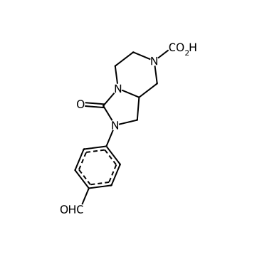 O=Cc1ccc(N2CC3CN(C(=O)O)CCN3C2=O)cc1